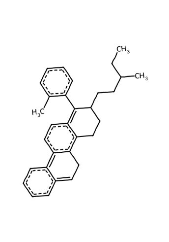 CCC(C)CCC1CCc2c3c(ccc2=C1c1ccccc1C)=c1ccccc1=CC3